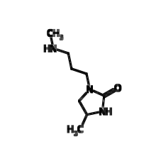 CNCCCN1CC(C)NC1=O